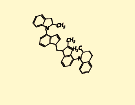 CC1=Cc2c(cccc2N2c3ccccc3CCC2C)C1CC1C=Cc2c1cccc2N1c2ccccc2CC1C